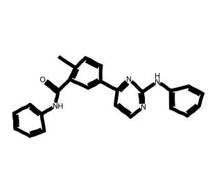 Cc1ccc(-c2ccnc(Nc3ccccc3)n2)cc1C(=O)Nc1ccccc1